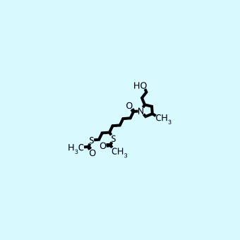 CC(=O)SCCC(CCCCC(=O)N1CC(C)CC1CCO)SC(C)=O